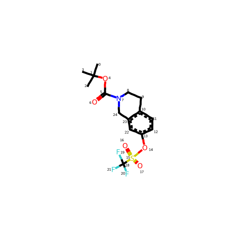 CC(C)(C)OC(=O)N1CCc2ccc(OS(=O)(=O)C(F)(F)F)cc2C1